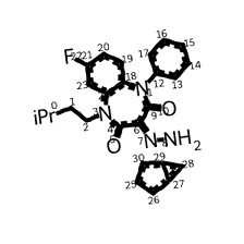 CC(C)CCn1c(=O)c(=NN)c(=O)n(-c2ccccc2)c2ccc(F)cc21.c1cc2cc-2c1